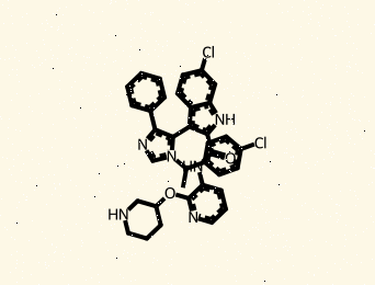 CC(c1ccc(Cl)cc1)n1cnc(-c2ccccc2)c1-c1c(C(=O)Nc2cccnc2OC2CCCNC2)[nH]c2cc(Cl)ccc12